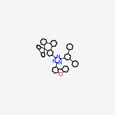 c1ccc(-c2cc(-c3ccccc3)cc(-c3nc(-c4ccc5c(c4)-c4ccccc4-c4ccccc4C54c5ccccc5-c5ccccc54)nc(-c4cccc5oc6ccccc6c45)n3)c2)cc1